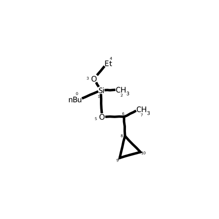 CCCC[Si](C)(OCC)OC(C)C1CC1